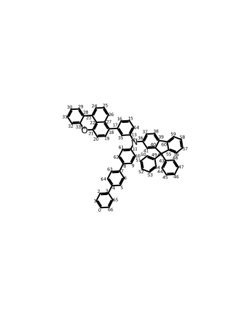 c1ccc(-c2ccc(-c3ccc(N(c4cccc(-c5ccc6c7c(cccc57)-c5ccccc5O6)c4)c4ccc5c(c4)C(c4ccccc4)(c4ccccc4)c4ccccc4-5)cc3)cc2)cc1